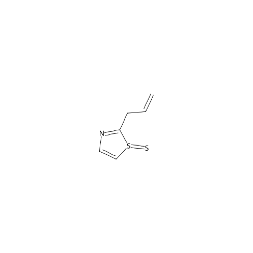 C=CCC1=NC=CS1=S